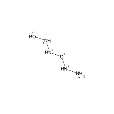 NNONNO